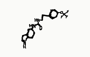 O=C(NCCc1ccc(OC(F)(F)F)cc1)Nc1ccc2[nH]ccc2c1